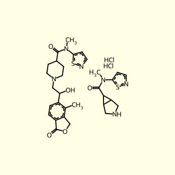 CN(C(=O)C1C2CNCC21)c1ccns1.Cc1c(C(O)CN2CCC(C(=O)N(C)c3ccns3)CC2)ccc2c1COC2=O.Cl.Cl